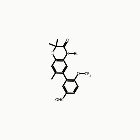 CCN1C(=O)C(C)(C)Oc2cc(C)c(-c3cc(C=O)ccc3OC(F)(F)F)cc21